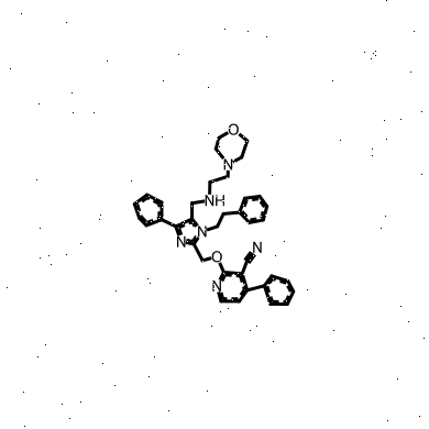 N#Cc1c(-c2ccccc2)ccnc1OCc1nc(-c2ccccc2)c(CNCCN2CCOCC2)n1CCc1ccccc1